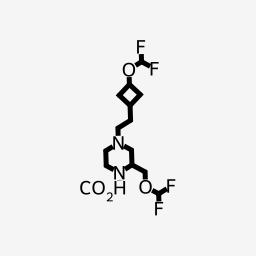 O=C(O)N1CCN(CCC2CC(OC(F)F)C2)CC1COC(F)F